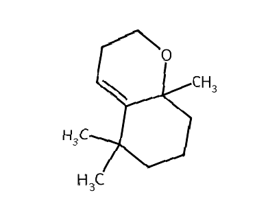 CC1(C)CCCC2(C)OCCC=C12